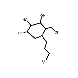 CCCCN1C[C@@H](O)C(O)C(O)C1CO